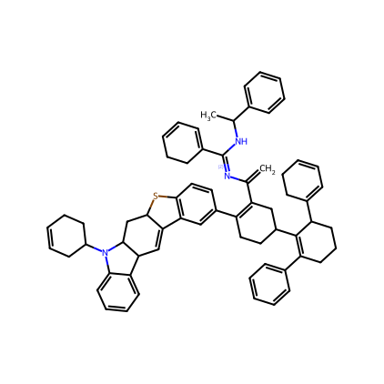 C=C(/N=C(\NC(C)c1ccccc1)C1=CC=CCC1)C1=C(c2ccc3c(c2)C2=CC4c5ccccc5N(C5CC=CCC5)C4CC2S3)CCC(C2=C(c3ccccc3)CCCC2C2=CC=CCC2)C1